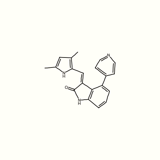 Cc1cc(C)c(/C=C2\C(=O)Nc3cccc(-c4ccncc4)c32)[nH]1